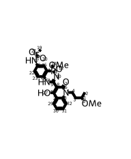 COC(C)CCn1c(=O)c(C2=NP(=O)(OC)c3cc(NS(C)(=O)=O)ccc3N2)c(O)c2ccccc21